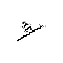 CCCCCCCCCCCCCCCCCC(=O)O.O=C([O-])CCC(=O)O.OCC(O)CO.[K+]